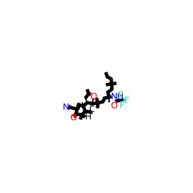 CCCC(C)(C)CC[C@@](C)(CCC(C)(C)[C@]1(C)CC[C@H]2C(C)(C)C(=O)C(C#N)=C[C@]2(C)[C@H]1CC(C)=O)NC(=O)C(F)(F)F